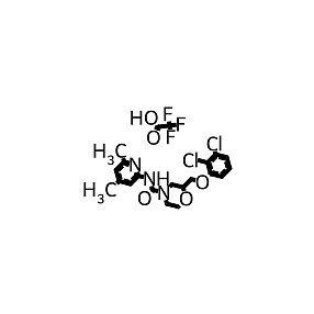 Cc1cc(C)nc(NC(=O)N2CCOC(COc3cccc(Cl)c3Cl)C2)c1.O=C(O)C(F)(F)F